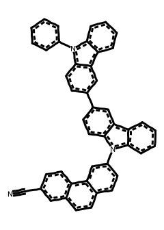 N#Cc1ccc2c(ccc3ccc(-n4c5ccccc5c5cc(-c6ccc7c(c6)c6ccccc6n7-c6ccccc6)ccc54)cc32)c1